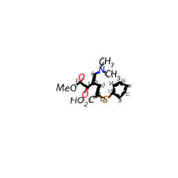 COC(=O)C(=O)C(=CN(C)C)C=C(Sc1ccccc1)C(=O)O